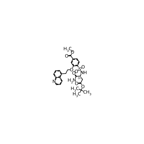 COC(=O)c1ccc(S(=O)(=O)N[C@@H](CC(=O)OC(C)(C)C)C(N)=O)c(OCCc2cccc3ncccc23)c1